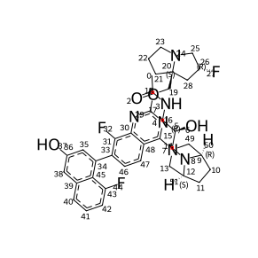 CC(=O)NC[C@@H](O)CN1[C@@H]2CC[C@H]1CN(c1nc(OC[C@@]34CCCN3C[C@H](F)C4)nc3c(F)c(-c4cc(O)cc5cccc(F)c45)ccc13)C2